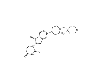 CC1(CN2CCN(c3ccc4c(c3)CN([C@H]3CCC(=O)NC3=O)C4=O)CC2)CCNCC1